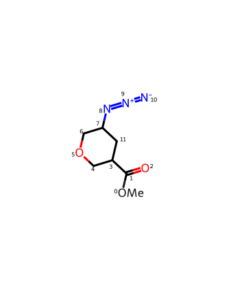 COC(=O)C1COCC(N=[N+]=[N-])C1